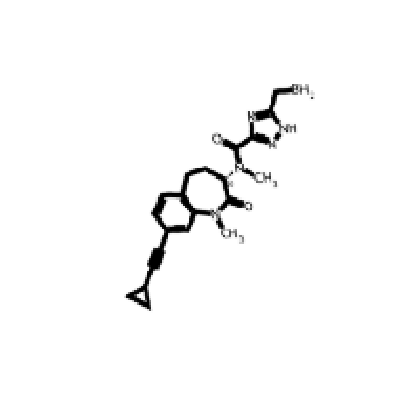 BCc1nc(C(=O)N(C)[C@H]2CCc3ccc(C#CC4CC4)cc3N(C)C2=O)n[nH]1